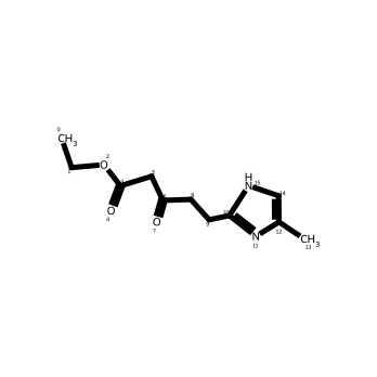 CCOC(=O)CC(=O)CCc1nc(C)c[nH]1